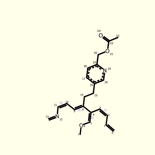 C=C\C=C/C(=C/OC)C(=C/C=C\N=C)/CCc1ccc(COC(C)=O)nc1